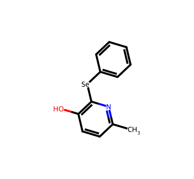 Cc1ccc(O)c([Se]c2ccccc2)n1